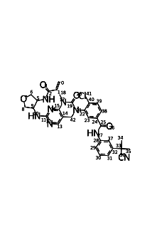 C=CC(=O)NC1COCC1Nc1ncc2c(n1)N(C)C(=O)N(c1cc(C(=O)Nc3cccc(C(C)(C)C#N)c3)ccc1Cl)C2